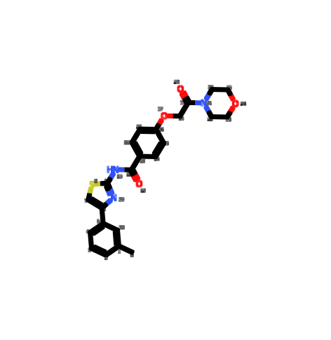 Cc1cccc(-c2csc(NC(=O)c3ccc(OCC(=O)N4CCOCC4)cc3)n2)c1